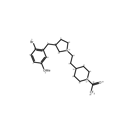 COc1ccc(Br)c(CC2CCN(CCC3CCN(C(=O)C(F)(F)F)CC3)C2)c1